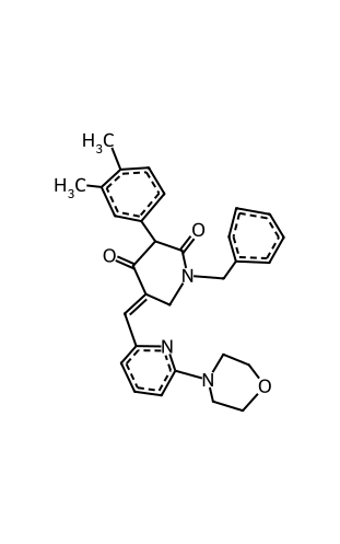 Cc1ccc(C2C(=O)/C(=C/c3cccc(N4CCOCC4)n3)CN(Cc3ccccc3)C2=O)cc1C